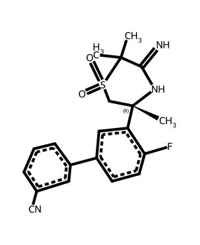 CC1(C)C(=N)N[C@](C)(c2cc(-c3cccc(C#N)c3)ccc2F)CS1(=O)=O